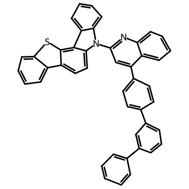 c1ccc(-c2cccc(-c3ccc(-c4cc(-n5c6ccccc6c6c7sc8ccccc8c7ccc65)nc5ccccc45)cc3)c2)cc1